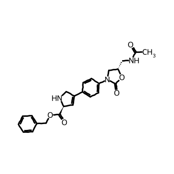 CC(=O)NC[C@H]1CN(c2ccc(C3=C[C@@H](C(=O)OCc4ccccc4)NC3)cc2)C(=O)O1